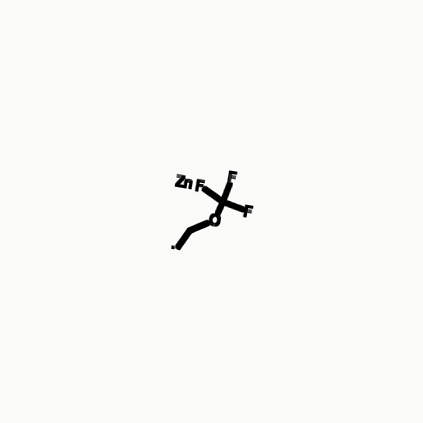 [CH2]COC(F)(F)F.[Zn]